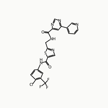 O=C(NCc1ncc(C(=O)Nc2ccc(Cl)c(C(F)(F)F)c2)s1)c1cc(-c2cccnc2)ncn1